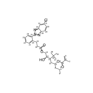 C=C(C)C(=O)OC(CCC)CC(C(O)COC(=O)CCc1ccccc1-n1nc2ccc(Cl)cc2n1)C(C)(C)C